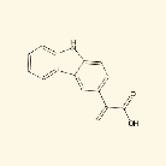 C=C(C(=O)O)c1ccc2[nH]c3ccccc3c2c1